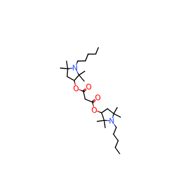 CCCCCN1C(C)(C)CC(OC(=O)CC(=O)OC2CC(C)(C)N(CCCCC)C2(C)C)C1(C)C